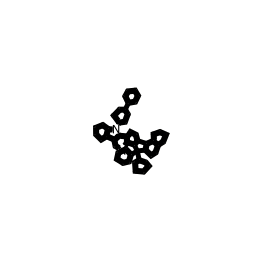 c1ccc(-c2ccc(-n3c4ccccc4c4cnc5c6c(ccc5c43)-c3c(ccc4ccccc34)C6(c3ccccc3)c3ccccc3)cc2)cc1